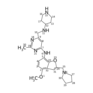 COc1ccc(Nc2cc(CNC3CCNCC3)nc(C)n2)c2oc(CN3CCCC3)cc12